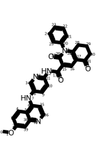 COc1ccc2c(Nc3ccc(NC(=O)c4cc5c(n(-c6ccccc6)c4=O)CCCC5=O)nc3)ccnc2c1